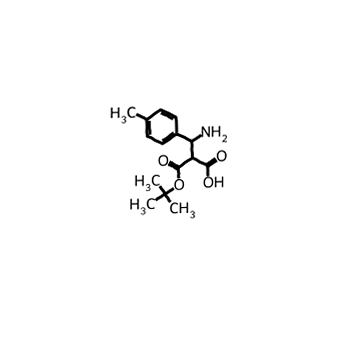 Cc1ccc(C(N)C(C(=O)O)C(=O)OC(C)(C)C)cc1